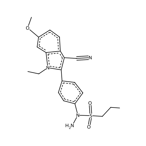 CCCS(=O)(=O)N(N)c1ccc(-c2c(C#N)c3ccc(OC)cc3n2CC)cc1